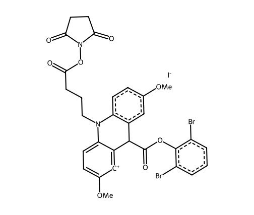 COC1=CC=C2C(=[C+]1)C(C(=O)Oc1c(Br)cccc1Br)c1cc(OC)ccc1N2CCCC(=O)ON1C(=O)CCC1=O.[I-]